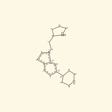 c1cc2ccn(CCC3CCCN3)c2cc1C1CCOCC1